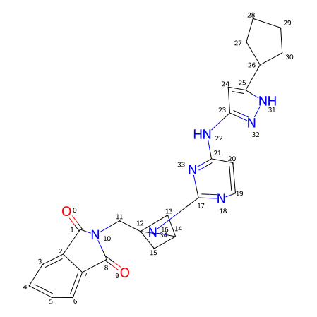 O=C1c2ccccc2C(=O)N1CC12CC(C1)N(c1nccc(Nc3cc(C4CCCC4)[nH]n3)n1)C2